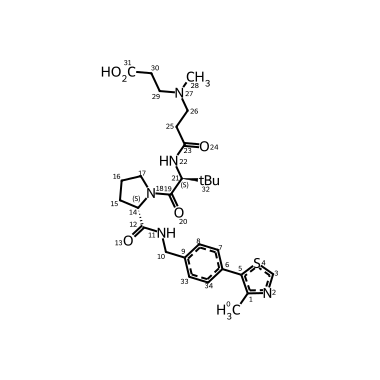 Cc1ncsc1-c1ccc(CNC(=O)[C@@H]2CCCN2C(=O)[C@@H](NC(=O)CCN(C)CCC(=O)O)C(C)(C)C)cc1